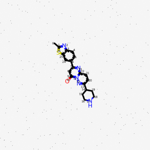 Cc1nc2ccc(-c3cc(=O)n4nc(C5CCNCC5)ccc4n3)cc2s1